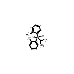 Cc1ccccc1P(O)(O)(c1ccccc1C)C(C)C